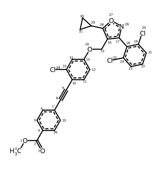 COC(=O)c1ccc(C#Cc2ccc(OCc3c(-c4c(Cl)cccc4Cl)noc3C3CC3)cc2Cl)cc1